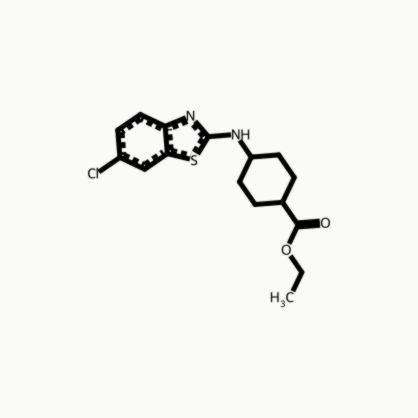 CCOC(=O)C1CCC(Nc2nc3ccc(Cl)cc3s2)CC1